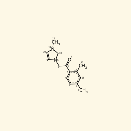 Cc1ccc(C(=O)CN2C=CN(C)C2)c(C)c1